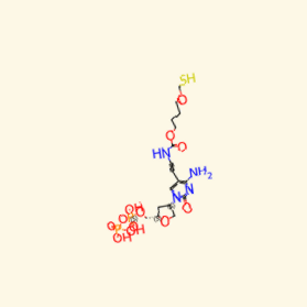 Nc1nc(=O)n([C@@H]2CO[C@H](CO[P@](=O)(O)OP(=O)(O)O)C2)cc1C#CNC(=O)OCCCCOCS